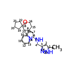 Cc1cc(CNCC[C@]2(c3ccccn3)CCOC3(CCCC3)C2)n[nH]1